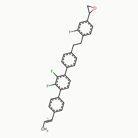 C/C=C/c1ccc(-c2ccc(-c3ccc(CCc4ccc(C5CO5)cc4F)cc3)c(F)c2F)cc1